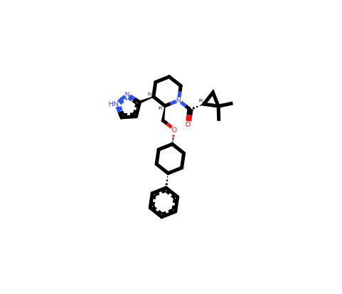 CC1(C)C[C@H]1C(=O)N1CCC[C@H](c2cc[nH]n2)[C@@H]1CO[C@H]1CC[C@@H](c2ccccc2)CC1